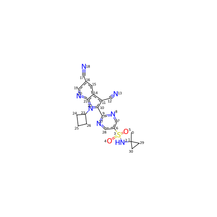 CC1(NS(=O)(=O)c2cnc(-c3c(C#N)c4cc(C#N)cnc4n3C3CCC3)nc2)CC1